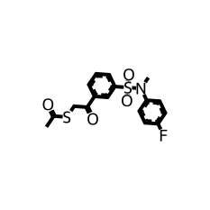 CC(=O)SCC(=O)c1cccc(S(=O)(=O)N(C)c2ccc(F)cc2)c1